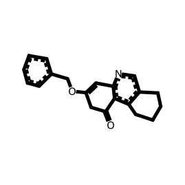 O=C1CC(OCc2ccccc2)=Cc2ncc3c(c21)CCCC3